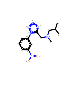 CC(C)CN(C)Cc1nnnn1-c1cccc([N+](=O)[O-])c1